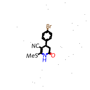 CSC1=C(C#N)C(c2ccc(Br)cc2)CC(=O)N1